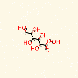 O=C(OO)C(O)C(O)C(O)C(O)CO